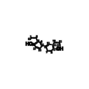 C/C=C\c1cc(-c2ccc(O)c(/C=C\C)c2)ccc1O